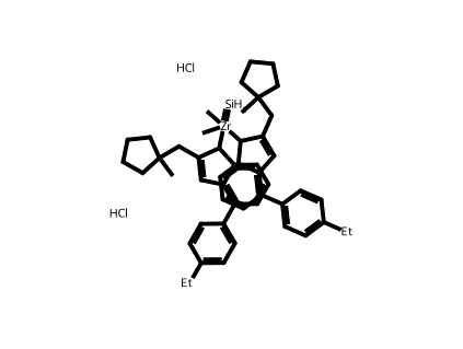 CCc1ccc(-c2cccc3c2C=C(CC2(C)CCCC2)[CH]3[Zr]([CH3])([CH3])(=[SiH2])[CH]2C(CC3(C)CCCC3)=Cc3c(-c4ccc(CC)cc4)cccc32)cc1.Cl.Cl